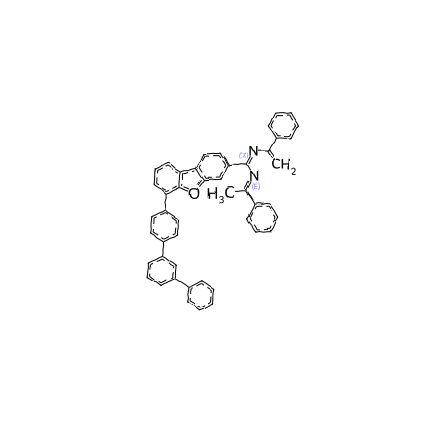 C=C(/N=C(\N=C(/C)c1ccccc1)c1ccc2c(c1)oc1c(-c3ccc(-c4cccc(-c5ccccc5)c4)cc3)cccc12)c1ccccc1